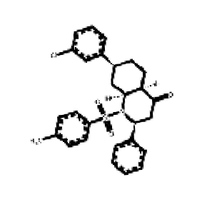 Cc1ccc(S(=O)(=O)N2[C@H](c3ccccc3)CC(=O)[C@@H]3CC[C@H](c4cccc(Cl)c4)C[C@@H]32)cc1